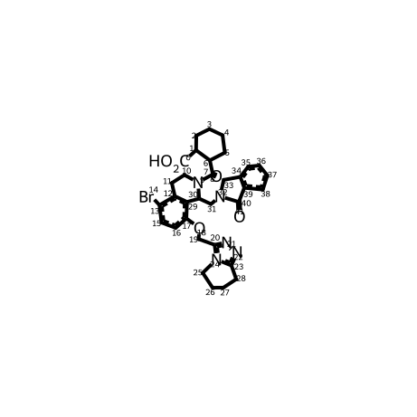 O=C(O)C1CCCCC1C(=O)N1CCc2c(Br)ccc(OCc3nnc4n3CCCC4)c2C1CN1Cc2ccccc2C1=O